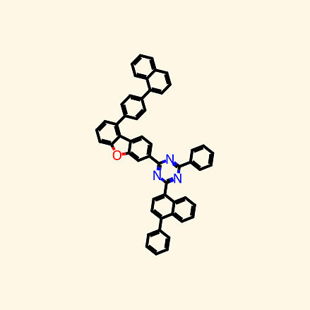 c1ccc(-c2nc(-c3ccc4c(c3)oc3cccc(-c5ccc(-c6cccc7ccccc67)cc5)c34)nc(-c3ccc(-c4ccccc4)c4ccccc34)n2)cc1